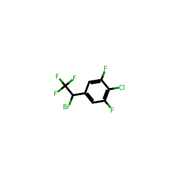 Fc1cc(C(Br)C(F)(F)F)cc(F)c1Cl